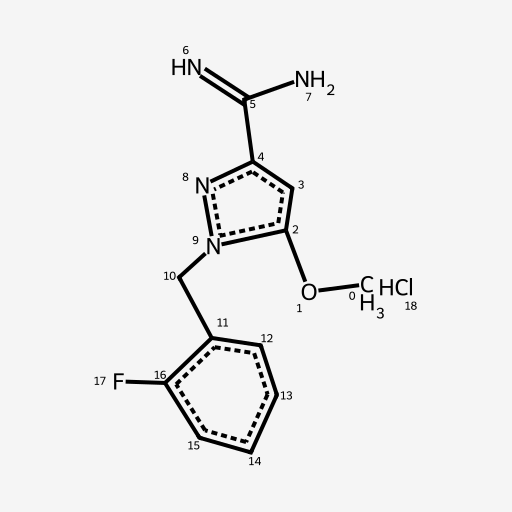 COc1cc(C(=N)N)nn1Cc1ccccc1F.Cl